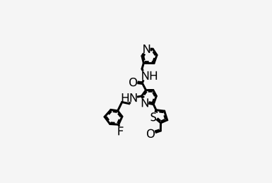 O=Cc1ccc(-c2ccc(C(=O)NCc3cccnc3)c(NCCc3cccc(F)c3)n2)s1